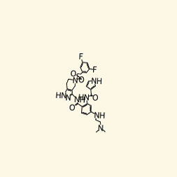 CN(C)CCNc1ccc(C(=O)Nc2n[nH]c3c2CN(S(=O)(=O)c2cc(F)cc(F)c2)CC3)c(NC(=O)c2cc[nH]c2)c1